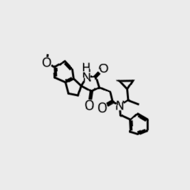 COc1ccc2c(c1)CCC21NC(=O)C(CC(=O)N(Cc2ccccc2)C(C)C2CC2)C1=O